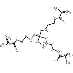 C=C(C)C(=O)OCCOCC(CO)(COCCOC(=O)C(=C)C)COCCOC(=O)C(=C)C